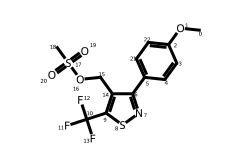 COc1ccc(-c2nsc(C(F)(F)F)c2COS(C)(=O)=O)cc1